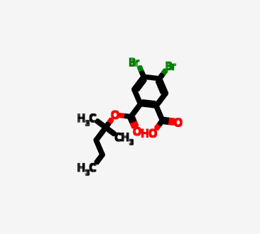 CCCC(C)(C)OC(=O)c1cc(Br)c(Br)cc1C(=O)O